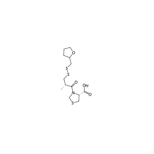 C[C@H](CSSCC1CCCO1)C(=O)N1CSC[C@H]1C(=O)O